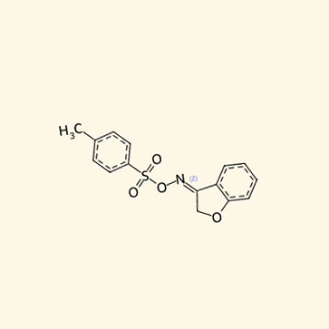 Cc1ccc(S(=O)(=O)O/N=C2\COc3ccccc32)cc1